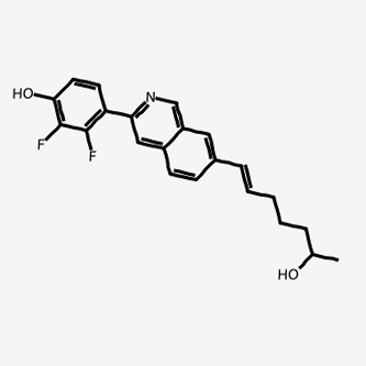 CC(O)CCCC=Cc1ccc2cc(-c3ccc(O)c(F)c3F)ncc2c1